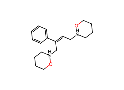 C(C[SiH]1CCCCO1)=C(C[SiH]1CCCCO1)c1ccccc1